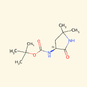 CC1(C)C[C@H](NC(=O)OC(C)(C)C)C(=O)N1